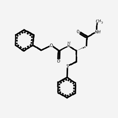 CNC(=O)C[C@H](CSc1ccccc1)NC(=O)OCc1ccccc1